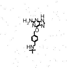 CC(C)(C)NCc1ccc(COc2nc(N)nc3[nH]cnc23)cc1